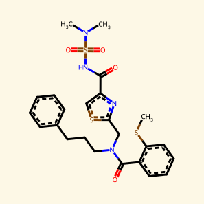 CSc1ccccc1C(=O)N(CCCc1ccccc1)Cc1nc(C(=O)NS(=O)(=O)N(C)C)cs1